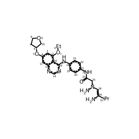 CCOc1cc(O[C@H]2CCOC2)cc2ncnc(Nc3ccc(NC(=O)CN(N)/C=C(\N)C(C)C)cc3)c12